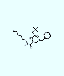 C=CCCCCN(C)C(=O)C(COCc1ccccc1)NC(=O)OC(C)(C)C